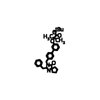 CC(C)(C)OC(=O)C(C)(C)Oc1cccc(-c2ccc(CN3C(=O)C4(CCCC4)N=C3Cc3ccccc3)cc2)c1